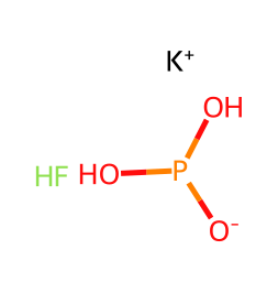 F.[K+].[O-]P(O)O